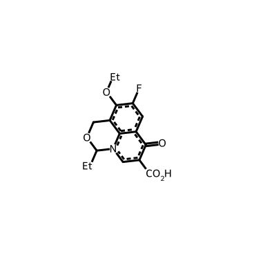 CCOc1c(F)cc2c(=O)c(C(=O)O)cn3c2c1COC3CC